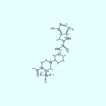 CC(=O)N1CCN(C2CCC[C@@H](NC(=O)C3Cc4c(F)ccc(C)c4N3)C2)C[C@H]1C(F)(F)F